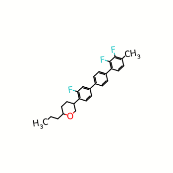 CCCC1CCC(c2ccc(-c3ccc(-c4ccc(C)c(F)c4F)cc3)cc2F)CO1